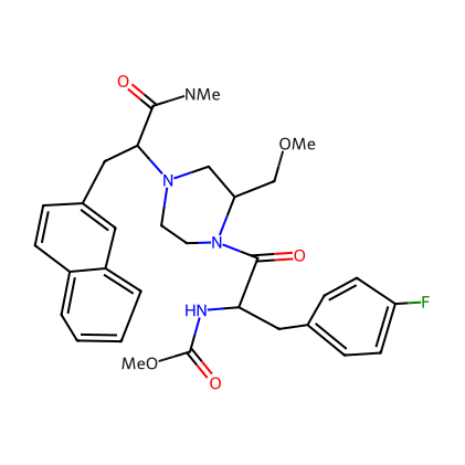 CNC(=O)C(Cc1ccc2ccccc2c1)N1CCN(C(=O)C(Cc2ccc(F)cc2)NC(=O)OC)C(COC)C1